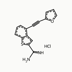 Cl.N=C(N)c1cc2c(C#Cc3ccco3)cccc2s1